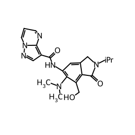 CC(C)N1Cc2cc(NC(=O)c3cnn4cccnc34)c(N(C)C)c(CO)c2C1=O